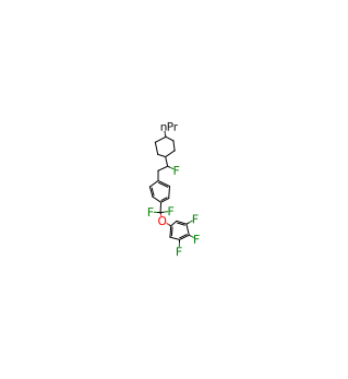 CCCC1CCC(C(F)Cc2ccc(C(F)(F)Oc3cc(F)c(F)c(F)c3)cc2)CC1